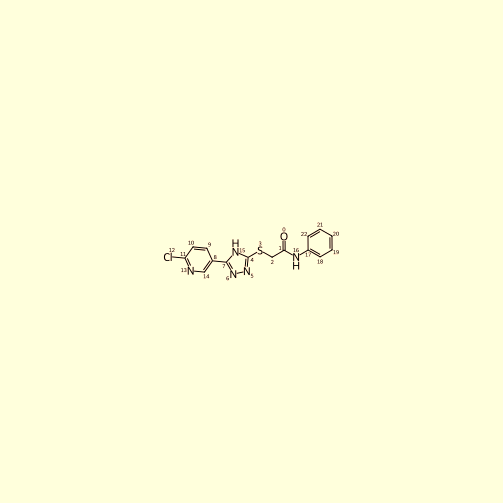 O=C(CSc1nnc(-c2ccc(Cl)nc2)[nH]1)Nc1ccccc1